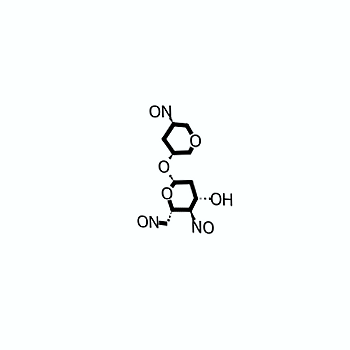 O=NC[C@@H]1O[C@H](O[C@H]2COC[C@@H](N=O)C2)C[C@H](O)[C@H]1N=O